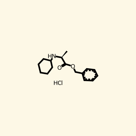 C[C@H](NC1CCCCC1)C(=O)OCc1ccccc1.Cl